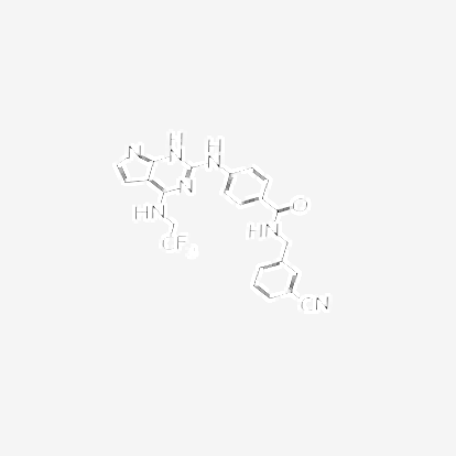 N#Cc1cccc(CNC(=O)c2ccc(Nc3nc(NCC(F)(F)F)c4ccnc-4[nH]3)cc2)c1